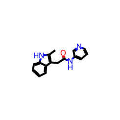 Cc1[nH]c2ccccc2c1CC(=O)Nc1cccnc1